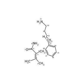 CC(C)=C(C)C(N)=O.CCCN.Cc1ccccc1